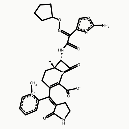 C[n+]1ccccc1C(=C1CCNC1=O)C1=C(C(=O)[O-])N2C(=O)[C@@H](NC(=O)C(=NOC3CCCC3)c3csc(N)n3)[C@H]2CC1